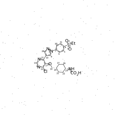 CCS(=O)(=O)c1ccc(-n2cc(-c3ncnc(Cl)c3OC[C@H]3CC[C@@H](NC(=O)O)CC3)cn2)cc1